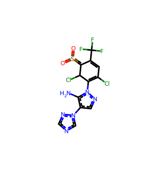 Nc1c(-n2cncn2)cnn1C1=C(Cl)C=C(C(F)(F)F)C(=S(=O)=O)C1Cl